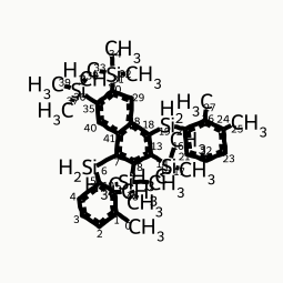 Cc1cccc([SiH2]c2c([Si](C)(C)C)c([Si](C)(C)C)c([SiH2]c3cccc(C)c3C)c3cc([Si](C)(C)C)c([Si](C)(C)C)cc23)c1C